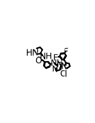 O=C(NC1CCCNC1)c1cccc(Nc2ncc(Cl)c(N3CCCC3c3cc(F)cc(F)c3)n2)c1